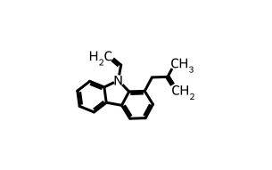 C=Cn1c2ccccc2c2cccc(CC(=C)C)c21